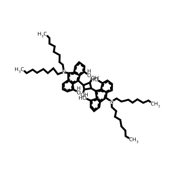 CCCCCCCCN(CCCCCCCC)c1c2cccc(O)c2c(C2C(O)C(c3c4c(O)cccc4c(N(CCCCCCCC)CCCCCCCC)c4cccc(O)c34)C2O)c2c(O)cccc12